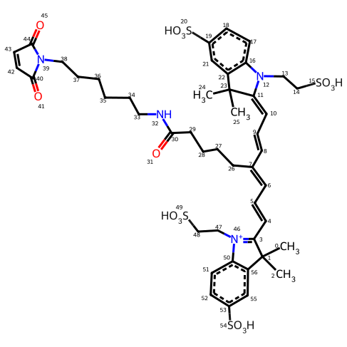 CC1(C)C(/C=C/C=C(/C=C/C=C2/N(CCS(=O)(=O)O)c3ccc(S(=O)(=O)O)cc3C2(C)C)CCCCC(=O)NCCCCCCN2C(=O)C=CC2=O)=[N+](CCS(=O)(=O)O)c2ccc(S(=O)(=O)O)cc21